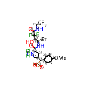 COc1ccc(C([C@H]2CN[C@H](C(=O)N[C@@H](C(C)C)[C@@H](O)C(F)(F)C(=O)NCC(F)(F)F)C2)[SH](=O)=O)cc1.Cl